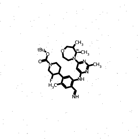 Cc1nc(Nc2cc(C3CCN(C(=O)OC(C)(C)C)CC3F)c(C)cc2C=N)cc(N2CCOCC(C)[C@H]2C)n1